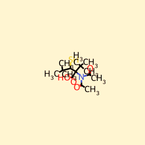 CC(=O)N(C(C)=O)C(C(=O)O)(C(S)C(C)(C)C)C(C)(C)C